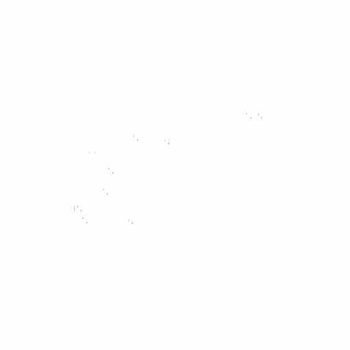 CCN(C(=O)[C@@H]1CCN(CC(=O)N2CC=C(c3ccc(-c4nn(C)c(=O)o4)cc3)CC2)C1)c1ccc2[nH]nc(-c3ccc(C)nc3)c2n1